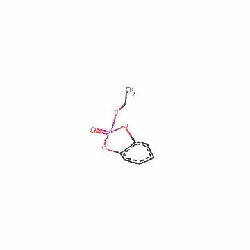 O=P1(OCC(F)(F)F)Oc2ccccc2O1